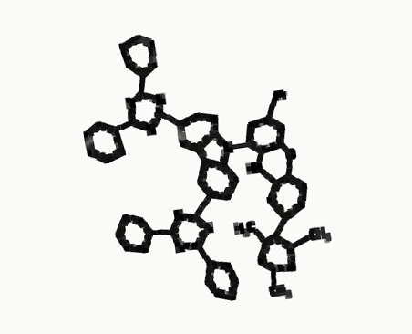 Cc1cc(C)c(-c2ccc3c(c2)Bc2c(cc(C(C)C)cc2-n2c4ccc(-c5nc(-c6ccccc6)nc(-c6ccccc6)n5)cc4c4cc(-c5nc(-c6ccccc6)nc(-c6ccccc6)n5)ccc42)O3)c(C)c1